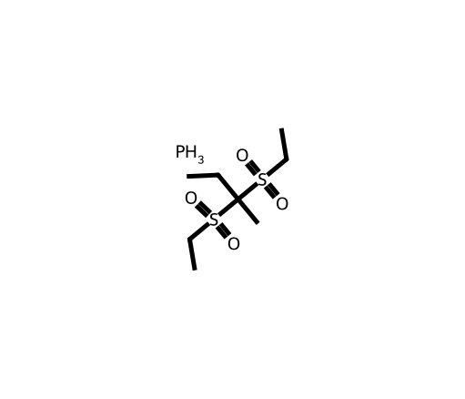 CCC(C)(S(=O)(=O)CC)S(=O)(=O)CC.P